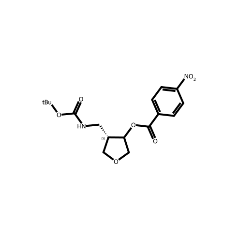 CC(C)(C)OC(=O)NC[C@H]1COCC1OC(=O)c1ccc([N+](=O)[O-])cc1